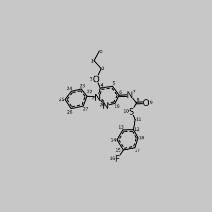 CCCOc1cc(=NC(=O)SCc2ccc(F)cc2)cnn1-c1ccccc1